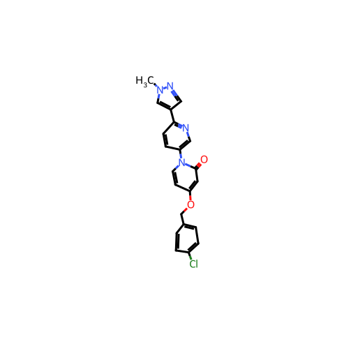 Cn1cc(-c2ccc(-n3ccc(OCc4ccc(Cl)cc4)cc3=O)cn2)cn1